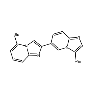 CC(C)(C)c1cnc2ccc(-c3cn4c(C(C)(C)C)cccc4n3)cn12